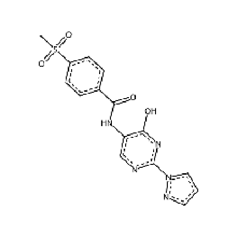 CS(=O)(=O)c1ccc(C(=O)Nc2cnc(-n3cccn3)nc2O)cc1